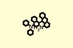 Nc1cccc2cc3ccccc3c(-c3ccc(N(c4ccccc4)c4ccccc4)c4ccccc34)c12